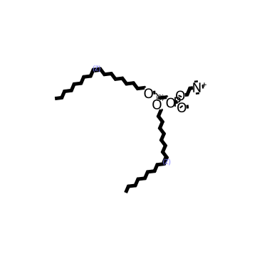 CCCCCCCC/C=C\CCCCCCCCOC[C@H](COP(OC)OCC[N+](C)(C)C)OCCCCCCCC/C=C\CCCCCCCC